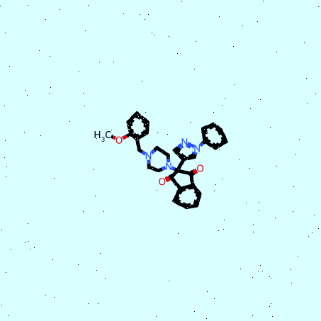 COc1ccccc1CN1CCN(C2(c3cnn(-c4ccccc4)c3)C(=O)c3ccccc3C2=O)CC1